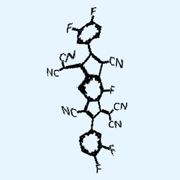 N#CC(C#N)=C1C(c2ccc(F)c(F)c2)=C(C#N)c2c1cc1c(c2F)C(=C(C#N)C#N)C(c2ccc(F)c(F)c2)=C1C#N